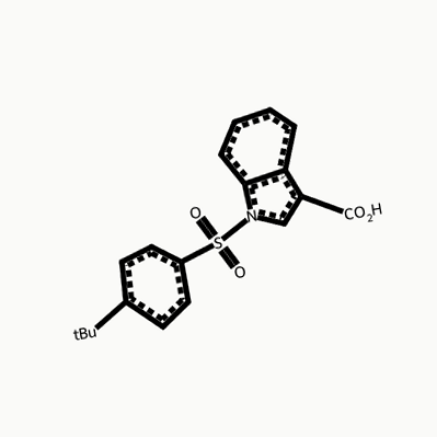 CC(C)(C)c1ccc(S(=O)(=O)n2cc(C(=O)O)c3ccccc32)cc1